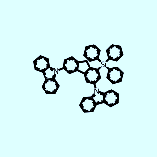 c1ccc([Si](c2ccccc2)(c2ccccc2)c2cc(-n3c4ccccc4c4ccccc43)cc3c2Cc2ccc(-n4c5ccccc5c5ccccc54)cc2-3)cc1